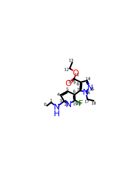 CCNc1ccc(-c2c(C(=O)OCC)cnn2CC)c(F)n1